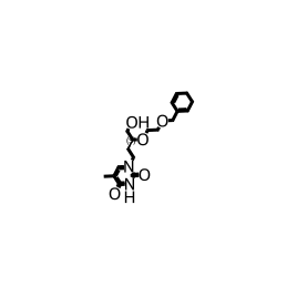 Cc1cn(CC[C@@H](CO)OCCOCC2=CCCC=C2)c(=O)[nH]c1=O